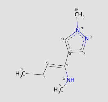 CC/C=C(\NC)c1cnn(C)c1